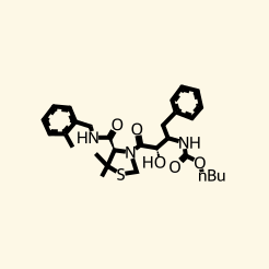 CCCCOC(=O)NC(Cc1ccccc1)[C@H](O)C(=O)N1CSC(C)(C)[C@H]1C(=O)NCc1ccccc1C